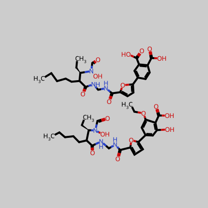 CCCCCC(C(=O)NCNC(=O)c1ccc(-c2cc(O)c(C(=O)O)c(OCC)c2)o1)[C@@H](CC)N(O)C=O.CCCCCC(C(=O)NCNC(=O)c1ccc(-c2ccc(C(=O)O)c(C(=O)O)c2)o1)[C@@H](CC)N(O)C=O